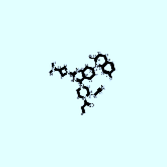 C=CC(=O)N1CCN(c2nc(N3CC(N(C)C)C3)nc3c2CC[C@@H](N2c4cc(F)ccc4CC[C@@H]2C)C3)C[C@@H]1CC#N